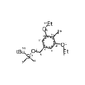 CCOc1cc(CO[Si](C)(C)C(C)(C)C)cc(OCC)c1I